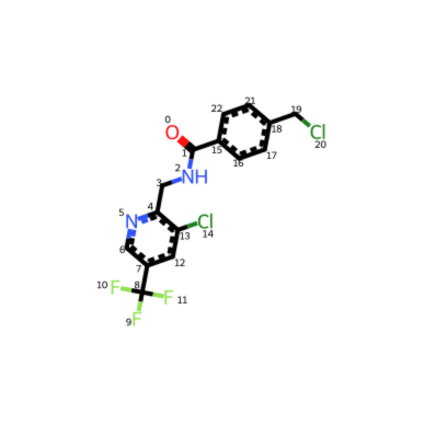 O=C(NCc1ncc(C(F)(F)F)cc1Cl)c1ccc(CCl)cc1